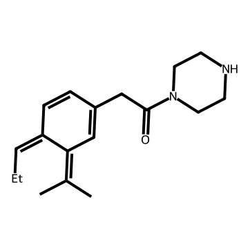 CC/C=c1/ccc(CC(=O)N2CCNCC2)cc1=C(C)C